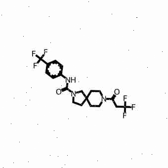 O=C(CC(F)(F)F)N1CCC2(CC1)CCN(C(=O)Nc1ccc(C(F)(F)F)cc1)C2